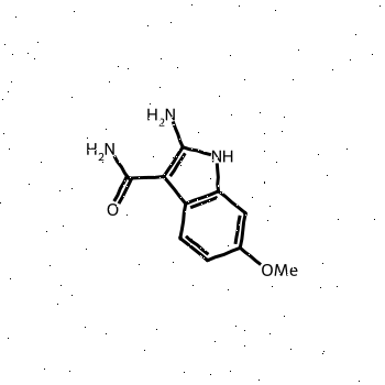 COc1ccc2c(C(N)=O)c(N)[nH]c2c1